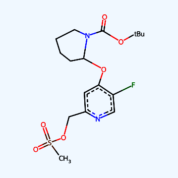 CC(C)(C)OC(=O)N1CCCCC1Oc1cc(COS(C)(=O)=O)ncc1F